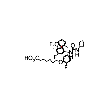 O=C(O)CCCCCCOc1cc(C(Cc2ccccc2)(NC(=O)NC2CCCC2)c2cc(F)cc(C(F)(F)F)c2)ccc1F